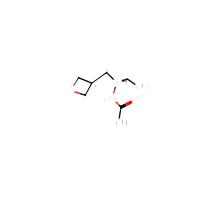 CC[SiH](CC1COC1)OC(C)=O